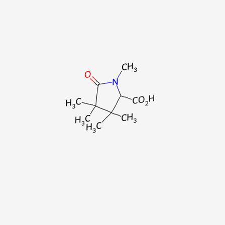 CN1C(=O)C(C)(C)C(C)(C)C1C(=O)O